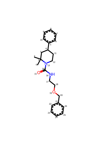 CC1(C)CC(c2ccccc2)CCN1C(=O)NCCOCc1ccccc1